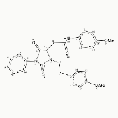 COc1ccc(CCN2C(=S)N(c3ccncc3)C(=O)C2CC(=O)Nc2ccc(OC)cc2)cc1